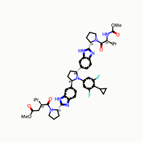 COC(=O)C[C@H](C(=O)N1CCC[C@H]1c1nc2ccc([C@H]3CC[C@H](c4ccc5nc([C@@H]6CCCN6C(=O)[C@@H](NC(=O)OC)C(C)C)[nH]c5c4)N3c3cc(F)c(C4CC4)c(F)c3)cc2[nH]1)C(C)C